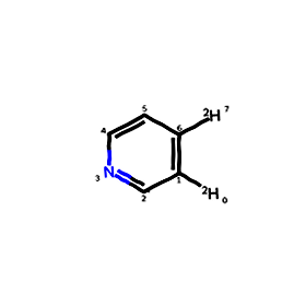 [2H]c1[c]nccc1[2H]